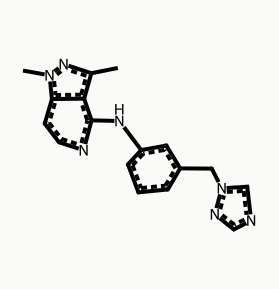 Cc1nn(C)c2ccnc(Nc3cccc(Cn4cncn4)c3)c12